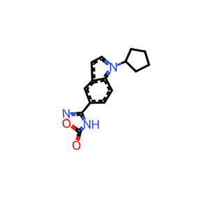 O=c1[nH]c(-c2ccc3c(ccn3C3CCCC3)c2)no1